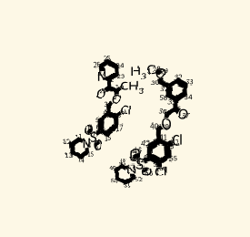 CC(OCc1cc(S(=O)(=O)N2CCCCC2)ccc1Cl)C(=O)c1ccccn1.COCc1cccc(C(=O)COCc2cc(S(=O)(=O)N3CCCCC3)c(Cl)cc2Cl)c1